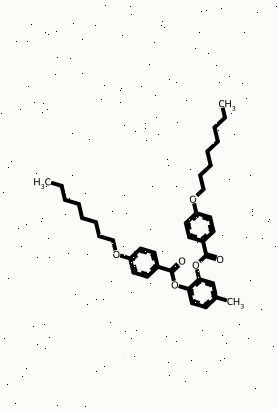 CCCCCCCCOc1ccc(C(=O)Oc2ccc(C)cc2OC(=O)c2ccc(OCCCCCCCC)cc2)cc1